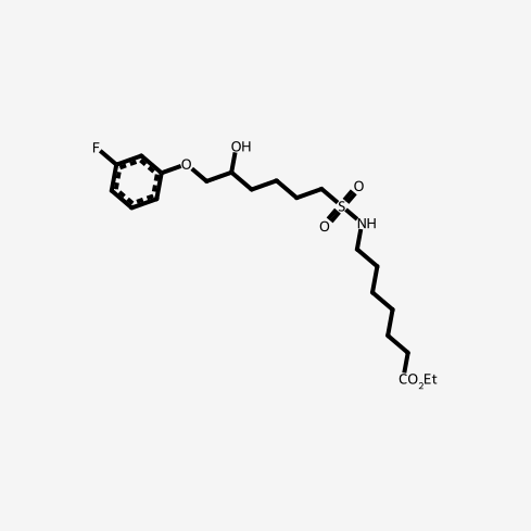 CCOC(=O)CCCCCCNS(=O)(=O)CCCCC(O)COc1cccc(F)c1